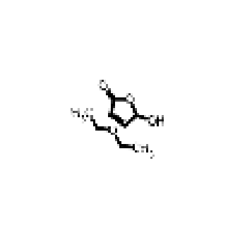 CCOCC.O=C1C=CC(O)O1